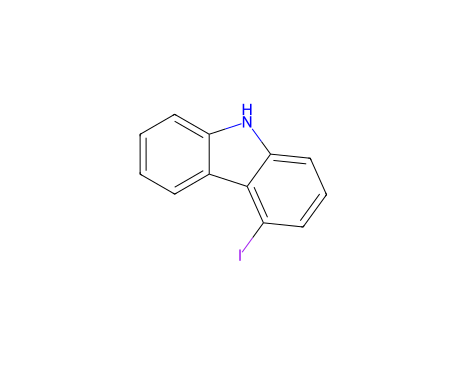 Ic1cccc2[nH]c3ccccc3c12